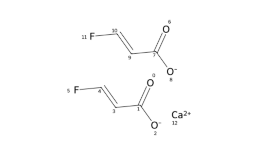 O=C([O-])C=CF.O=C([O-])C=CF.[Ca+2]